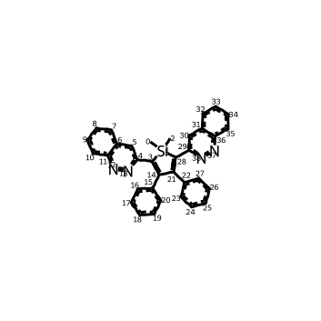 C[Si]1(C)C(c2cc3ccccc3nn2)=C(c2ccccc2)C(c2ccccc2)=C1c1cc2ccccc2nn1